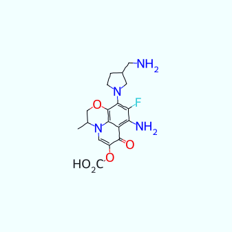 CC1COc2c(N3CCC(CN)C3)c(F)c(N)c3c(=O)c(OC(=O)O)cn1c23